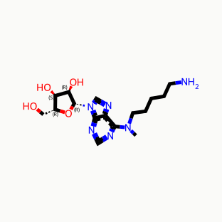 CN(CCCCCN)c1ncnc2c1ncn2[C@@H]1O[C@H](CO)[C@@H](O)[C@H]1O